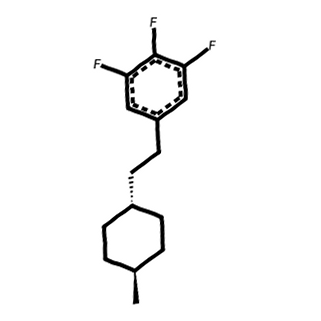 C[C@H]1CC[C@H](CCc2cc(F)c(F)c(F)c2)CC1